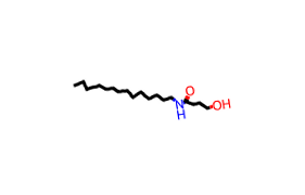 CCCCCCCCCCCCCCNC(=O)CCCO